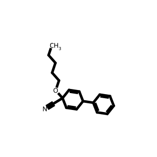 CCCCCOC1(C#N)C=CC(c2ccccc2)C=C1